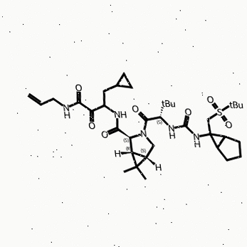 C=CCNC(=O)C(=O)C(CC1CC1)NC(=O)[C@@H]1[C@@H]2[C@H](CN1C(=O)[C@@H](NC(=O)NC1(CS(=O)(=O)C(C)(C)C)C3CCCC31)C(C)(C)C)C2(C)C